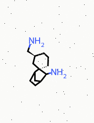 NC[C@H]1CCC[C@@]2(C1)C1CCC(C1)C2N